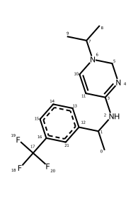 CC(NC1=NCN(C(C)C)C=C1)c1cccc(C(F)(F)F)c1